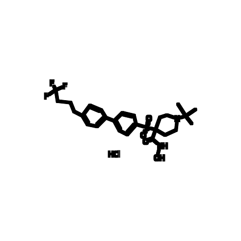 CC(C)(C)N1CCC(C(=O)NO)(S(=O)(=O)c2ccc(-c3ccc(CCCC(F)(F)F)cc3)cc2)CC1.Cl